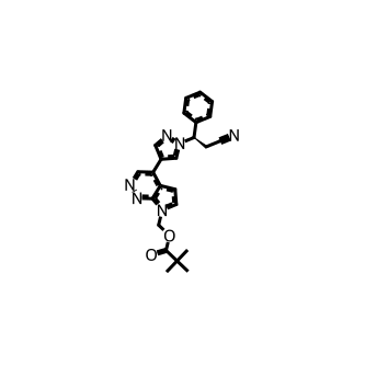 CC(C)(C)C(=O)OCn1ccc2c(-c3cnn([C@H](CC#N)c4ccccc4)c3)cnnc21